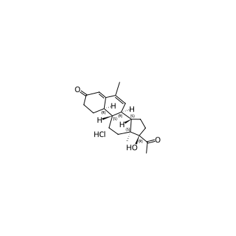 CC(=O)[C@@]1(O)CC[C@H]2[C@@H]3C=C(C)C4=CC(=O)CC[C@@H]4[C@H]3CC[C@@]21C.Cl